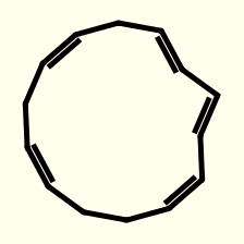 C1=C\CC/C=C\C/C=C\C/C=C/C=C/1